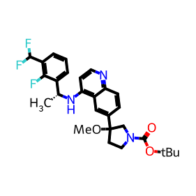 COC1(c2ccc3nccc(N[C@H](C)c4cccc(C(F)F)c4F)c3c2)CCN(C(=O)OC(C)(C)C)C1